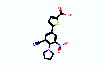 N#Cc1cc(-c2ccc(C(=O)O)s2)cc([N+](=O)[O-])c1N1CCCC1